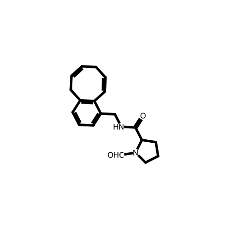 O=CN1CCCC1C(=O)NCc1cccc2c1/C=C\CC=CC2